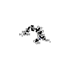 CC(C)(O/N=C(\C(=O)N[C@@H]1C(=O)N2C(C(=O)[O-])=C(C[n+]3ccc4n(Cc5nc(NC(=N)N)cs5)ccn43)CS[C@H]12)c1csc(N)n1)C(=O)O